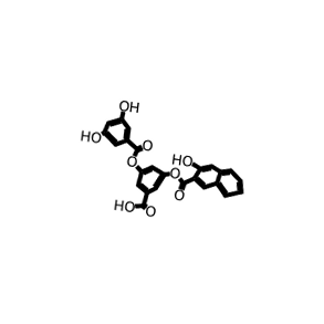 O=C(O)c1cc(OC(=O)c2cc(O)cc(O)c2)cc(OC(=O)c2cc3ccccc3cc2O)c1